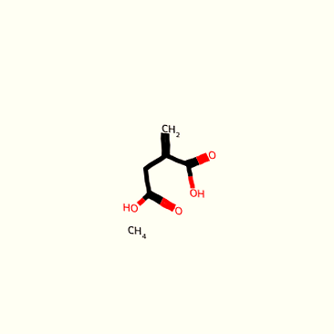 C.C=C(CC(=O)O)C(=O)O